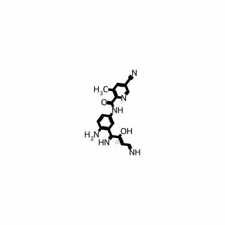 Cc1cc(C#N)cnc1C(=O)Nc1ccc(N)c(C(=N)/C(O)=C/C=N)c1